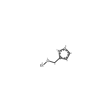 CCOCc1ccsn1